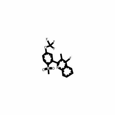 Cc1c(-c2cc(OC(F)(F)F)ccc2S(C)(=O)=O)nc2ccccc2c1F